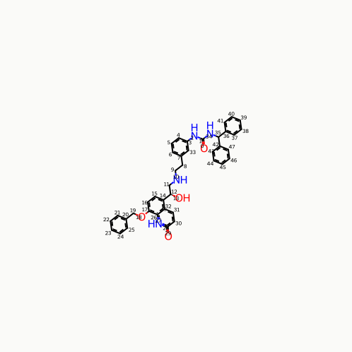 O=C(Nc1cccc(CCNC[C@@H](O)c2ccc(OCc3ccccc3)c3[nH]c(=O)ccc23)c1)NC(c1ccccc1)c1ccccc1